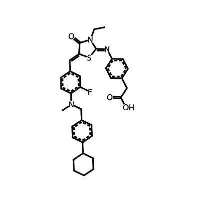 CCN1C(=O)C(=Cc2ccc(N(C)Cc3ccc(C4CCCCC4)cc3)c(F)c2)SC1=Nc1ccc(CC(=O)O)cc1